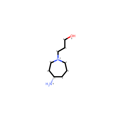 N[C@H]1CCCN(CCCO)CC1